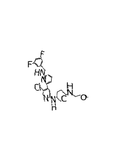 COCCN[C@H]1CC[C@H](Nc2cc(-c3cccc(NCc4cc(F)cc(F)c4)n3)c(Cl)cn2)CC1